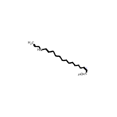 C=CCNCCCCCCCCCCCC/C=C\CCCCCCCC